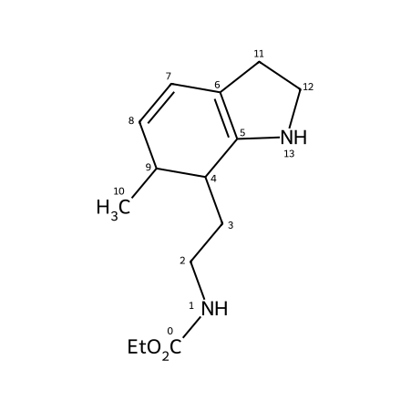 CCOC(=O)NCCC1C2=C(C=CC1C)CCN2